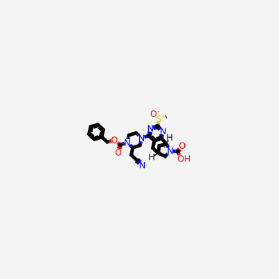 C[S+]([O-])c1nc2c(c(N3CCN(C(=O)OCc4ccccc4)C(CC#N)C3)n1)C[C@H]1C[C@@H]2N(C(=O)O)C1